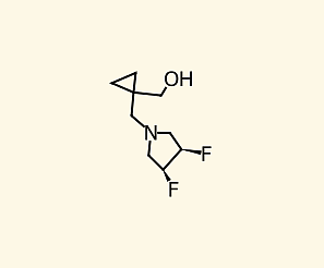 OCC1(CN2C[C@@H](F)[C@@H](F)C2)CC1